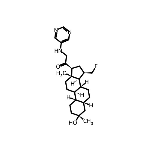 C[C@@]1(O)CC[C@H]2[C@H](CC[C@@H]3[C@@H]2CC[C@@]2(C)[C@H]3[C@H](CF)C[C@@H]2C(=O)CNc2cncnc2)C1